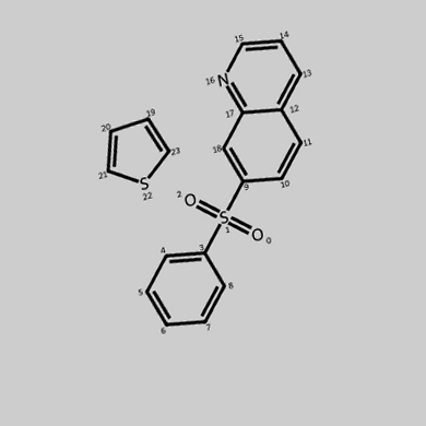 O=S(=O)(c1ccccc1)c1ccc2cccnc2c1.c1ccsc1